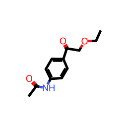 CCOCC(=O)c1ccc(NC(C)=O)cc1